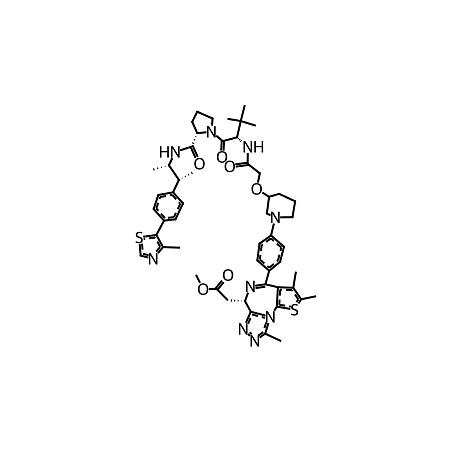 COC(=O)C[C@@H]1N=C(c2ccc(N3CCCC(OCC(=O)N[C@H](C(=O)N4CCC[C@H]4C(=O)N[C@@H](C)[C@H](C)c4ccc(-c5scnc5C)cc4)C(C)(C)C)C3)cc2)c2c(sc(C)c2C)-n2c(C)nnc21